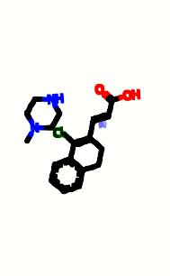 CN1CCNCC1.O=C(O)/C=C/C1=C(Cl)c2ccccc2CC1